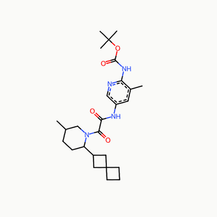 Cc1cc(NC(=O)C(=O)N2CC(C)CCC2C2CC3(CCC3)C2)cnc1NC(=O)OC(C)(C)C